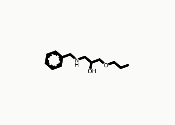 CCCOCC(O)CNCc1ccccc1